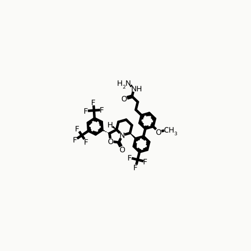 COc1ccc(CCC(=O)NN)cc1-c1ccc(C(F)(F)F)cc1[C@@H]1CCC[C@H]2[C@@H](c3cc(C(F)(F)F)cc(C(F)(F)F)c3)OC(=O)N12